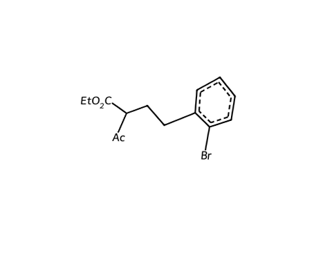 CCOC(=O)C(CCc1ccccc1Br)C(C)=O